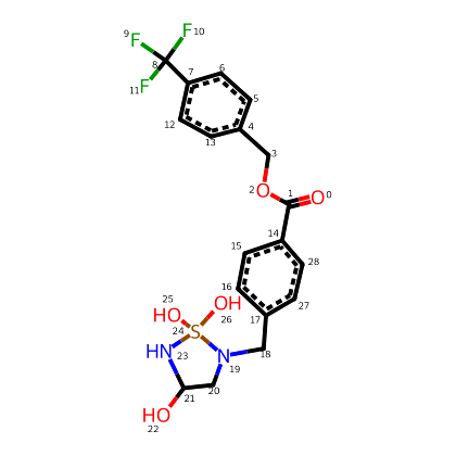 O=C(OCc1ccc(C(F)(F)F)cc1)c1ccc(CN2CC(O)NS2(O)O)cc1